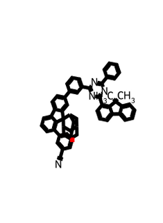 CC1(C)c2ccccc2-c2cccc(-c3nc(-c4ccccc4)nc(-c4cccc(-c5ccc6c(c5)C5(c7c(-c8cccc(C#N)c8)cccc7-6)C6CC7CC(C6)CC5C7)c4)n3)c21